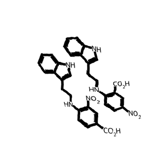 O=C(O)c1cc([N+](=O)[O-])ccc1NCCc1c[nH]c2ccccc12.O=C(O)c1ccc(NCCc2c[nH]c3ccccc23)c([N+](=O)[O-])c1